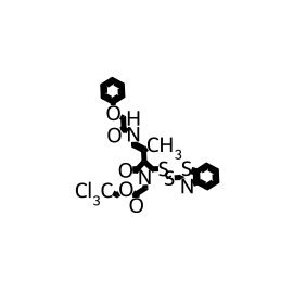 CC(=CNC(=O)COc1ccccc1)C1C(=O)N(CC(=O)OCC(Cl)(Cl)Cl)C1SSc1nc2ccccc2s1